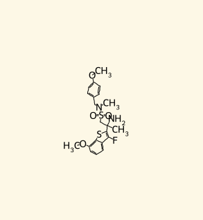 COc1ccc(CN(C)S(=O)(=O)CC(C)(N)c2sc3c(OC)cccc3c2F)cc1